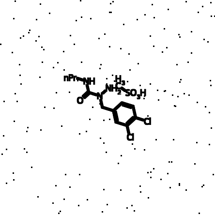 CCCNC(=O)N(N)Cc1ccc(Cl)c(Cl)c1.CS(=O)(=O)O